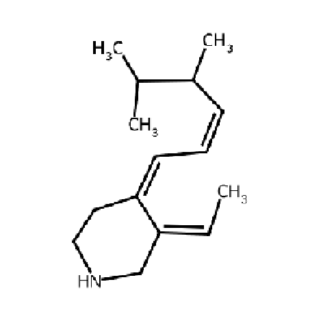 C/C=C1/CNCC/C1=C/C=C\C(C)C(C)C